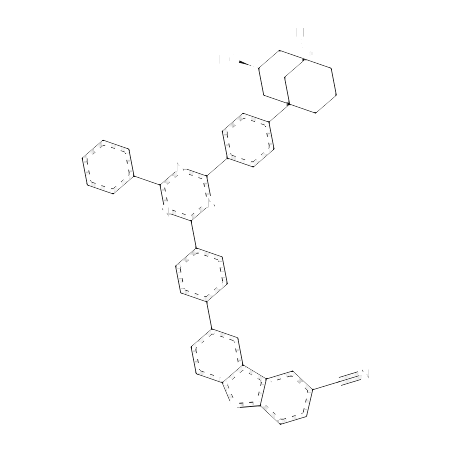 C[C@H]1C[C@H]2CCCC(c3ccc(-c4nc(-c5ccccc5)nc(-c5ccc(-c6ccc7oc8ccc(C#N)cc8c7c6)cc5)n4)cc3)(C1)C2